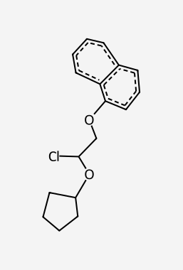 ClC(COc1cccc2ccccc12)OC1CCCC1